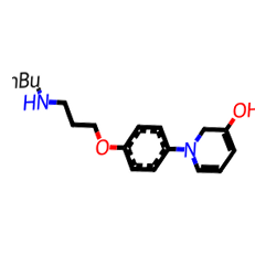 CCCCNCCCOc1ccc(N2C=CC=C(O)C2)cc1